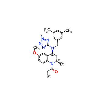 CC[C@@H]1C[C@H](N(Cc2cc(C(F)(F)F)cc(C(F)(F)F)c2)c2nnn(C)n2)c2cc(OC(F)(F)F)ccc2N1C(=O)CC(C)C